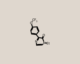 CCn1ccnc(-c2ccc(OC(F)(F)F)cc2)c1=O